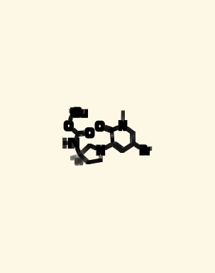 Cn1cc(Br)cc(N2CC[C@@](C)(NC(=O)OC(C)(C)C)C2)c1=O